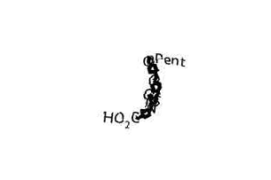 CCCCCOc1ccc(COc2ccc(C=C3SC(=Nc4ccc(CC(=O)O)cc4)N(C)C3=O)cc2)cc1